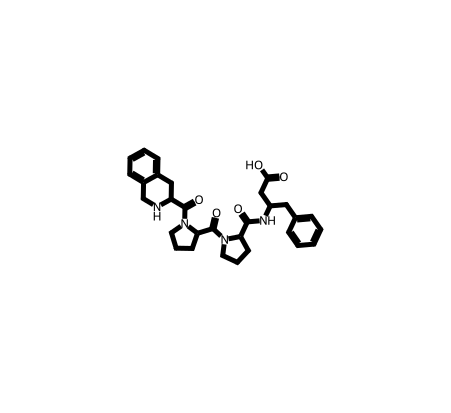 O=C(O)CC(Cc1ccccc1)NC(=O)C1CCCN1C(=O)C1CCCN1C(=O)C1Cc2ccccc2CN1